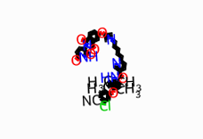 CC1(C)C(NC(=O)c2ccc(CCCCCN3CC(Oc4ccc5c(c4)C(=O)N(C4CCC(=O)NC4=O)C5=O)C3)nc2)C(C)(C)C1Oc1ccc(C#N)c(Cl)c1